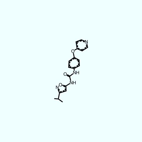 CC(C)c1cc(NC(=O)Nc2ccc(Oc3ccncc3)cc2)on1